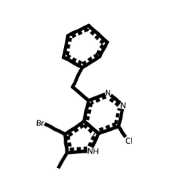 Cc1[nH]c2c(Cl)nnc(Cc3ccccc3)c2c1Br